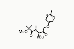 CCCCC(NC(=O)C(C)(C)OC)C(=O)COc1cnc(C)nc1